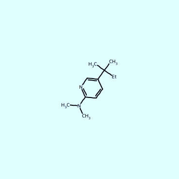 CCC(C)(C)c1ccc(N(C)C)nc1